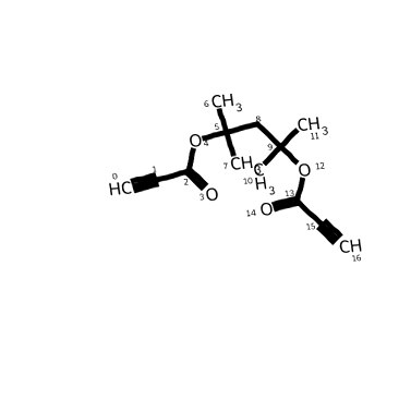 C#CC(=O)OC(C)(C)CC(C)(C)OC(=O)C#C